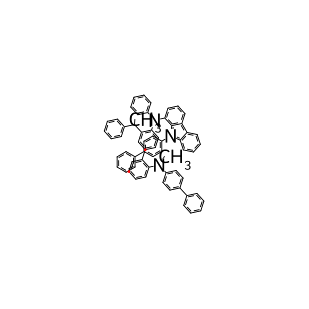 CC(c1ccccc1)c1cc(-c2ccccc2N(C)c2ccc(-c3ccccc3)cc2)ccc1N(c1ccccc1)c1cccc2c3ccccc3n(-c3ccc(-c4ccccc4)cc3)c12